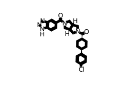 O=C(c1ccc2[nH]nnc2c1)N1C[C@H]2CN(C(=O)[C@H]3CC[C@H](c4ccc(Cl)cc4)CC3)C[C@@H]2C1